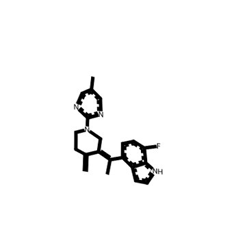 C=C1CCN(c2ncc(C)cn2)C/C1=C(/C)c1ccc(F)c2[nH]ccc12